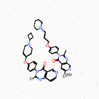 CCc1nc2ccncc2c(=O)n1-c1ccc(OC2CCN(C3CCC3)CC2)cc1.COc1cc2c(=O)n(-c3ccc(OCCCN4CCCCC4)cc3)c(C)nc2cn1